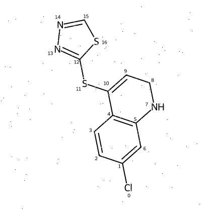 Clc1ccc2c(c1)NCC=C2Sc1nncs1